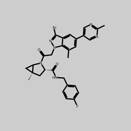 CC(=O)c1nn(CC(=O)N2C3C[C@]3(C)C[C@H]2C(=O)NCc2ccc(F)cc2)c2c(C)cc(-c3cnc(C)nc3)cc12